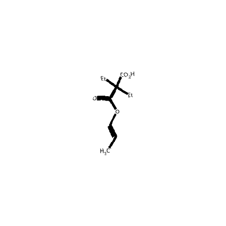 CC=COC(=O)C(CC)(CC)C(=O)O